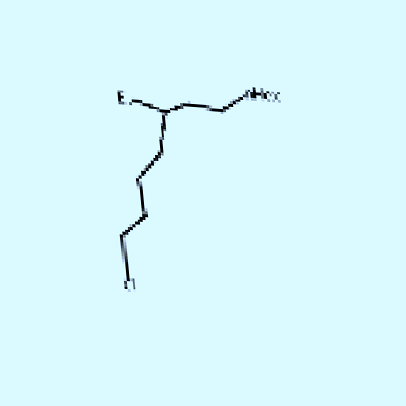 CCCCCCCCC(CC)CCCCCl